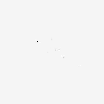 Fc1ccc([C@H]2COC3(COC[C@H](c4ccccc4)C3)N2)cc1